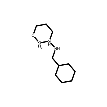 C1CCC(CN[SiH]2CCCO[SiH2]2)CC1